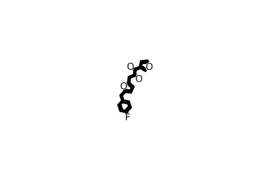 O=C(Cc1ccc(Cc2ccc(F)cc2)o1)C(=O)c1ccoc1